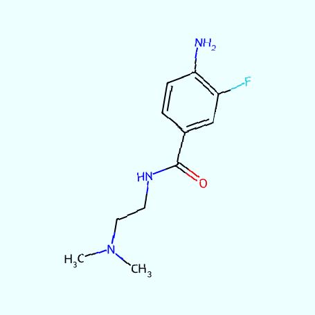 CN(C)CCNC(=O)c1ccc(N)c(F)c1